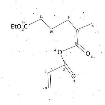 C=CC(=O)OC(=O)C(C)CCCC(=O)OCC